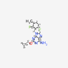 Cc1ccc(F)c(Cn2cnc3c(N)nc(OCC4CC4)nc32)c1F